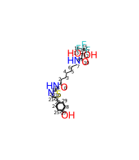 O=C(CCCCCCNC(=O)C(O)(O)C(F)(F)F)Nc1ncc(-c2ccc(O)cc2)s1